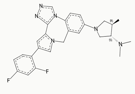 C[C@@H]1CN(c2ccc3c(c2)Cn2cc(-c4ccc(F)cc4F)cc2-c2nncn2-3)C[C@H]1N(C)C